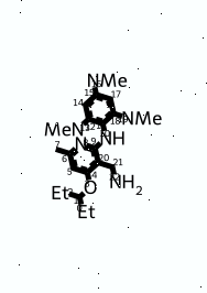 CCC(CC)Oc1cc(C)nc(Nc2c(NC)cc(NC)cc2NC)c1CN